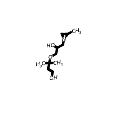 CC1CN1CC(O)COC(C)(C)CCO